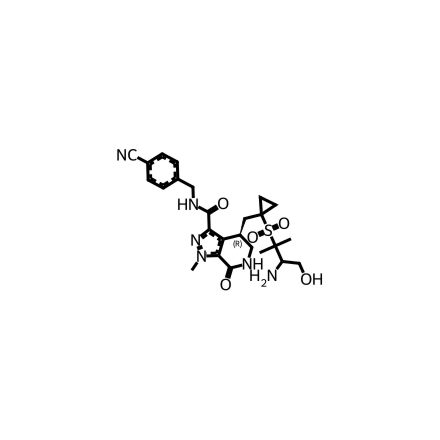 Cn1nc(C(=O)NCc2ccc(C#N)cc2)c2c1C(=O)NC[C@@H]2CC1(S(=O)(=O)C(C)(C)C(N)CO)CC1